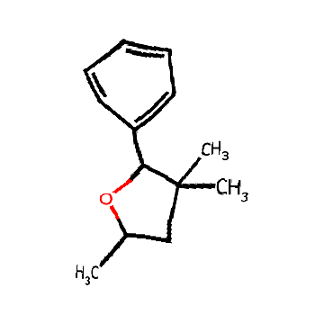 CC1CC(C)(C)C(c2ccccc2)O1